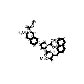 COC(=O)C(Cc1ccc2ccccc2c1)NC(=O)[C@H]1C[C@H](c2ccc3c(c2)CN(C(=O)OC(C)(C)C)[C@@H](C)C3)CN1C(=O)OC(C)(C)C